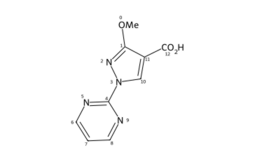 COc1nn(-c2ncccn2)cc1C(=O)O